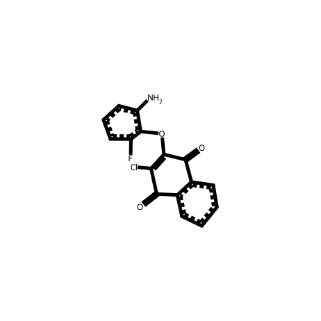 Nc1cccc(F)c1OC1=C(Cl)C(=O)c2ccccc2C1=O